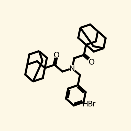 Br.O=C(CN(CC(=O)C12CC3CC(CC(C3)C1)C2)Cc1ccccc1)C12CC3CC(CC(C3)C1)C2